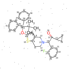 CC(C)(C)[Si](Oc1cc2c(s1)CCN(C(C(=O)C1CC1)c1ccccc1F)C2)(c1ccccc1)c1ccccc1